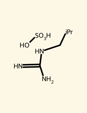 CC(C)CNC(=N)N.O=S(=O)(O)O